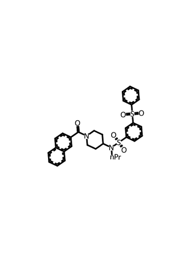 CCCN(C1CCN(C(=O)c2ccc3ccccc3c2)CC1)S(=O)(=O)c1cccc(S(=O)(=O)c2ccccc2)c1